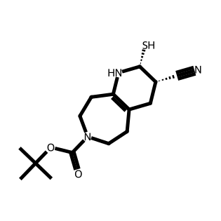 CC(C)(C)OC(=O)N1CCC2=C(CC1)N[C@H](S)[C@H](C#N)C2